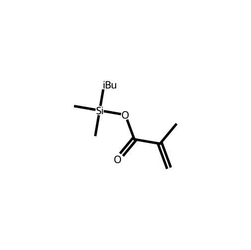 C=C(C)C(=O)O[Si](C)(C)C(C)CC